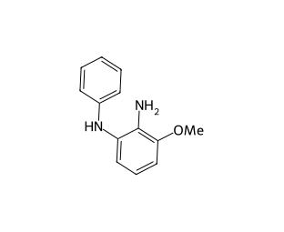 COc1cccc(Nc2ccccc2)c1N